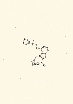 COC(=O)c1cc2cccc(OCC(C)(C)n3ccnc3)c2n1CC1CC1